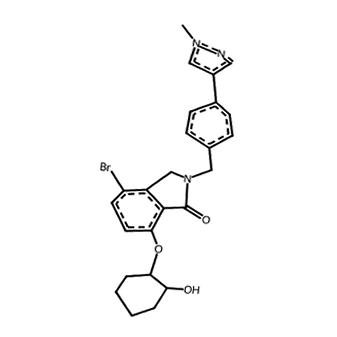 Cn1cc(-c2ccc(CN3Cc4c(Br)ccc(OC5CCCCC5O)c4C3=O)cc2)cn1